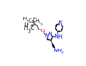 C[Si](C)(C)CCOCn1cc(C#CN)c(Nc2ccncc2)n1